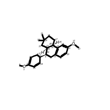 COC1=CCC([C@@H]2Cc3ccc(OC)cc3[C@@H]3CCC(C)(C)C[C@@H]32)C=C1